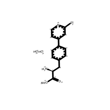 CCc1cc(-c2ccc(C[C@H](N)C(=O)OC)cc2)ccn1.Cl.Cl